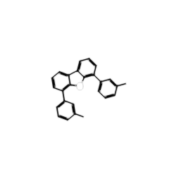 Cc1cccc(-c2cccc3c2oc2c(-c4cccc(C)c4)cccc23)c1